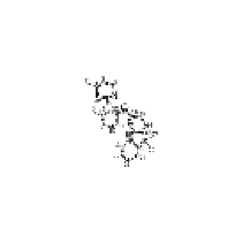 Cc1ccnc(-c2c(C)ccc3c2oc2ccc4c(c23)-c2ccccc2C4(C)C)c1